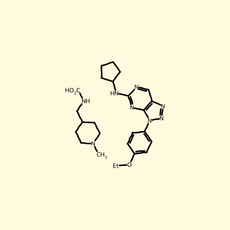 CCOc1ccc(-n2nnc3cnc(NC4CCCC4)nc32)cc1.CN1CCC(CNC(=O)O)CC1